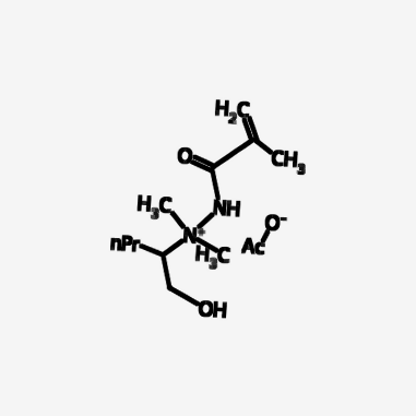 C=C(C)C(=O)N[N+](C)(C)C(CO)CCC.CC(=O)[O-]